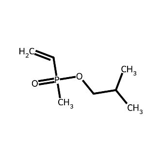 C=CP(C)(=O)OCC(C)C